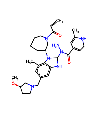 C=CC(=O)N1CCCC[C@@H](N2c3c(C)cc(CN4CC[C@@H](OC)C4)cc3NC2N(N)C(=O)C2=CCNC(C)=C2)C1